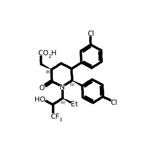 CC[C@@H](C(O)C(F)(F)F)N1C(=O)[C@@H](CC(=O)O)CC(c2cccc(Cl)c2)[C@H]1c1ccc(Cl)cc1